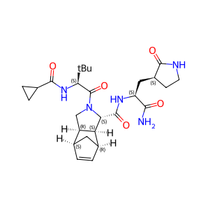 CC(C)(C)[C@H](NC(=O)C1CC1)C(=O)N1C[C@H]2[C@@H]([C@H]1C(=O)N[C@@H](C[C@@H]1CCNC1=O)C(N)=O)[C@H]1C=C[C@@H]2C1